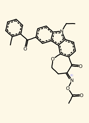 CCn1c2ccc(C(=O)c3ccccc3C)cc2c2c3c(ccc21)C(=O)/C(=N/OC(C)=O)CCO3